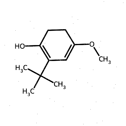 COC1=CC(C(C)(C)C)=C(O)CC1